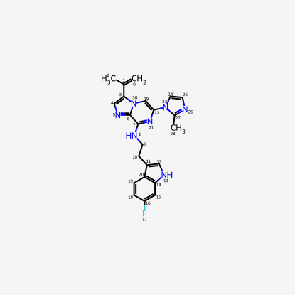 C=C(C)c1cnc2c(NCCc3c[nH]c4cc(F)ccc34)nc(-n3ccnc3C)cn12